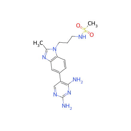 Cc1nc2cc(-c3cnc(N)nc3N)ccc2n1CCCNS(C)(=O)=O